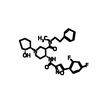 CN(CCc1ccccc1)C(=O)[C@@H]1CN([C@@H]2CCCC[C@H]2O)CC[C@H]1NC(=O)c1cc(-c2ccc(F)cc2F)on1